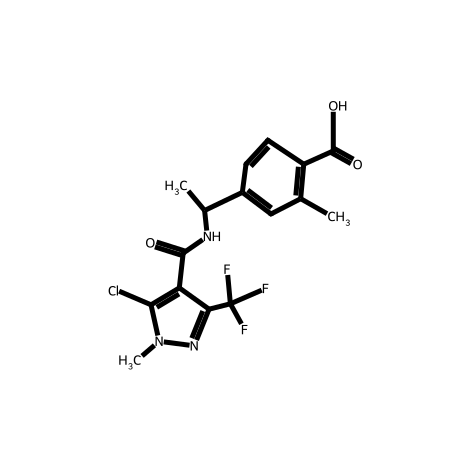 Cc1cc(C(C)NC(=O)c2c(C(F)(F)F)nn(C)c2Cl)ccc1C(=O)O